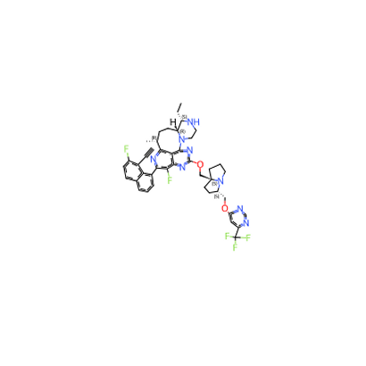 C#Cc1c(F)ccc2cccc(-c3nc4c5c(nc(OC[C@@]67CCCN6[C@H](COc6cc(C(F)(F)F)ncn6)CC7)nc5c3F)N3CCN[C@@H](CC)[C@H]3CC[C@H]4C)c12